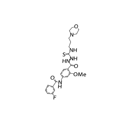 COc1cc(NC(=O)c2cccc(F)c2)ccc1C(=O)NNC(=S)NCCCN1CCOCC1